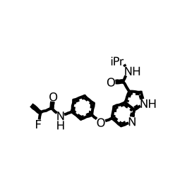 C=C(F)C(=O)Nc1cccc(Oc2cnc3[nH]cc(C(=O)NC(C)C)c3c2)c1